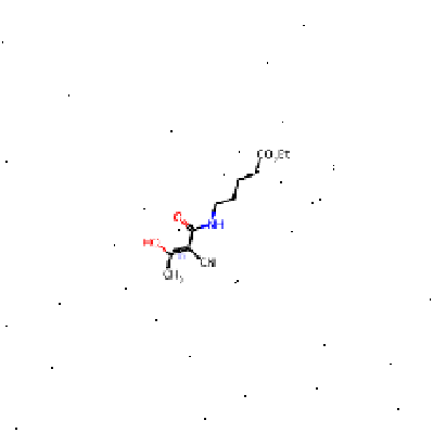 CCOC(=O)CCCCNC(=O)/C(C#N)=C(/C)O